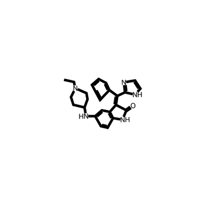 CCN1CCC(Nc2ccc3c(c2)/C(=C(\c2ccccc2)c2ncc[nH]2)C(=O)N3)CC1